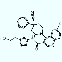 N#CC1(c2ccccc2)CCN(c2c(C(=O)Nc3cnn(CCO)c3)cnc3ccc(F)cc23)CC1